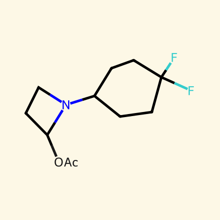 CC(=O)OC1CCN1C1CCC(F)(F)CC1